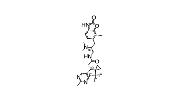 Cc1ncc([C@H](CC(=O)NC[C@H](Cc2ccc3[nH]c(=O)oc3c2C)N(C)C)C2(C(F)(F)F)CC2)cn1